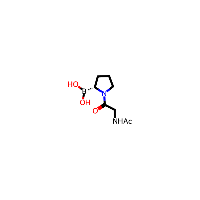 CC(=O)NCC(=O)N1CCC[C@H]1B(O)O